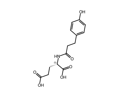 O=C(O)CC[C@H](NC(=O)CCc1ccc(O)cc1)C(=O)O